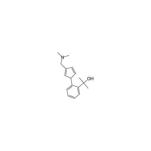 CN(C)CC1=CC(c2ccccc2C(C)(C)O)C=C1